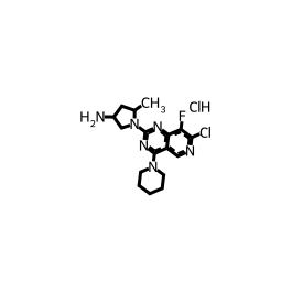 CC1CC(N)CN1c1nc(N2CCCCC2)c2cnc(Cl)c(F)c2n1.Cl